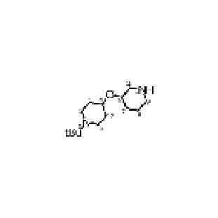 CC(C)(C)N1CCC(OC2CCCNC2)CC1